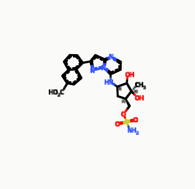 C[C@@]1(O)C(O)[C@H](Nc2ccnc3cc(-c4cccc5cc(C(=O)O)ccc45)nn23)C[C@@H]1COS(N)(=O)=O